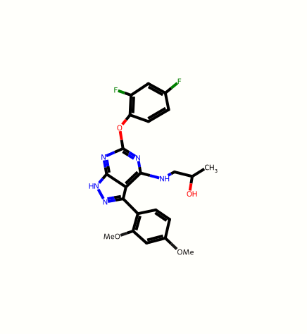 COc1ccc(-c2n[nH]c3nc(Oc4ccc(F)cc4F)nc(NCC(C)O)c23)c(OC)c1